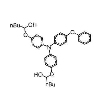 CCCCC(O)Oc1ccc(N(c2ccc(Oc3ccccc3)cc2)c2ccc(OC(O)CCCC)cc2)cc1